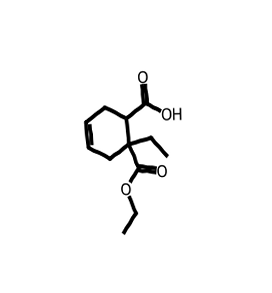 CCOC(=O)C1(CC)CC=CCC1C(=O)O